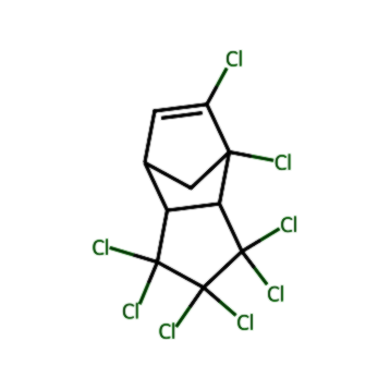 ClC1=CC2CC1(Cl)C1C2C(Cl)(Cl)C(Cl)(Cl)C1(Cl)Cl